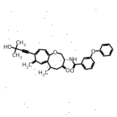 C=C1C=C2C(=CC=C1C#CC(C)(C)O)OC[C@H](NC(=O)c1cccc(Oc3ccccc3)c1)C(=O)CC2C